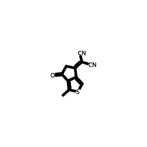 Cc1scc2c1C(=O)CC2=C(C#N)C#N